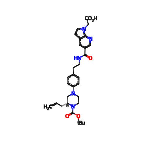 C=CC[C@@H]1CN(c2ccc(CCNC(=O)c3cnc4c(ccn4CC(=O)O)c3)cc2)CCN1C(=O)OC(C)(C)C